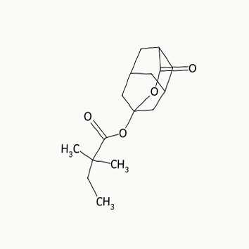 CCC(C)(C)C(=O)OC12CC3CC(CC(C3)C(=O)O1)C2